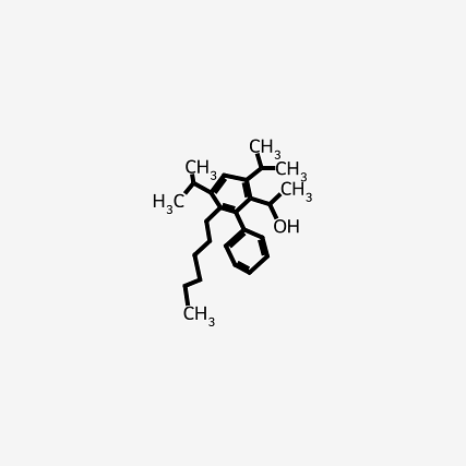 CCCCCCc1c(C(C)C)cc(C(C)C)c(C(C)O)c1-c1ccccc1